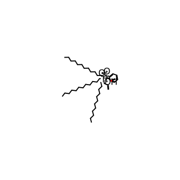 C=C[CH2][Ti]([OH])([CH2]C=C)([CH2]CCCCCCCCCCC)([CH2]CCCCCCCCCCC)([CH2]CCCCCCCCCCC)[S](=O)(=O)c1ccccc1